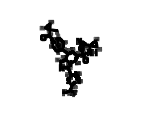 CC1(C(=O)N2CC3CCC2CN3c2cc(S(=O)(=O)NC3(C#N)CC3)cn3c(-c4nnc(C(F)F)s4)ncc23)CC1